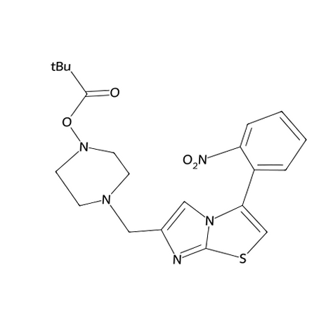 CC(C)(C)C(=O)ON1CCN(Cc2cn3c(-c4ccccc4[N+](=O)[O-])csc3n2)CC1